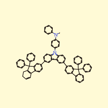 CN(c1ccccc1)c1ccc(-n2c3ccc(-c4ccc5c(c4)C(c4ccccc4)(c4ccccc4)C4=C5C=CCC4)cc3c3cc(-c4ccc5c(c4)C(c4ccccc4)(c4ccccc4)c4ccccc4-5)ccc32)cc1